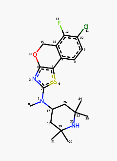 CN(c1nc2c(s1)-c1ccc(Cl)c(F)c1CO2)C1CC(C)(C)NC(C)(C)C1